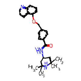 CC1(C)CC(NC(=O)c2ccc(COc3cccc4ncccc34)cc2)CC(C)(C)N1